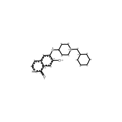 O=c1[nH]ccc2cc(OC3CCN(CC4CCCCC4)CC3)c(Cl)cc12